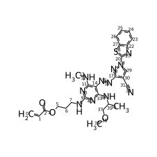 C=CC(=O)OCCCNc1nc(NC)c(N=Nc2nn(-c3nc4ccccc4s3)cc2C#N)c(NC(C)COC)n1